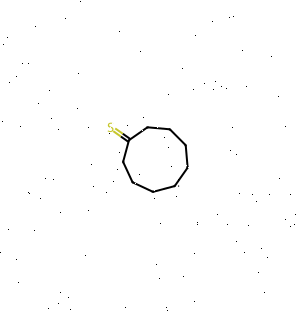 S=C1CCC[CH]CCCC1